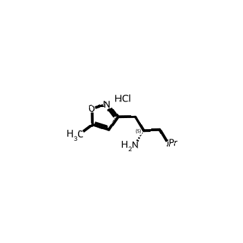 Cc1cc(C[C@@H](N)CC(C)C)no1.Cl